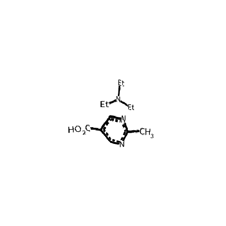 CCN(CC)CC.Cc1ncc(C(=O)O)cn1